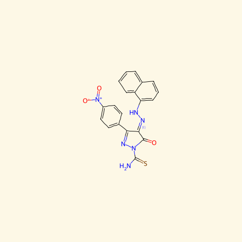 NC(=S)N1N=C(c2ccc([N+](=O)[O-])cc2)/C(=N\Nc2cccc3ccccc23)C1=O